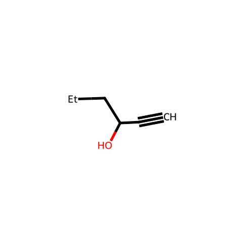 C#CC(O)CC[CH2]